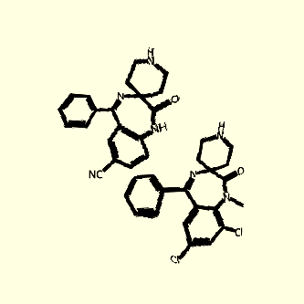 CN1C(=O)C2(CCNCC2)N=C(c2ccccc2)c2cc(Cl)cc(Cl)c21.N#Cc1ccc2c(c1)C(c1ccccc1)=NC1(CCNCC1)C(=O)N2